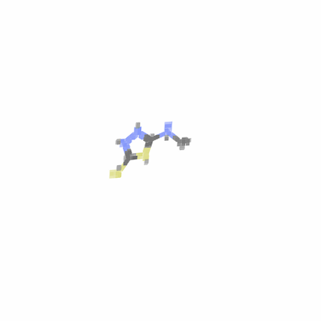 CCCNc1nnc(S)s1